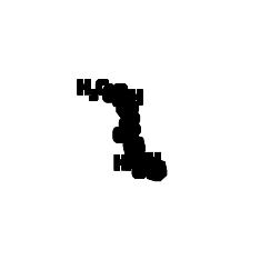 CCOC(=O)CC1(O)CCN(CC2CN(c3ccc(C(=N)NC(=O)c4ccccc4)cc3)C(=O)O2)CC1